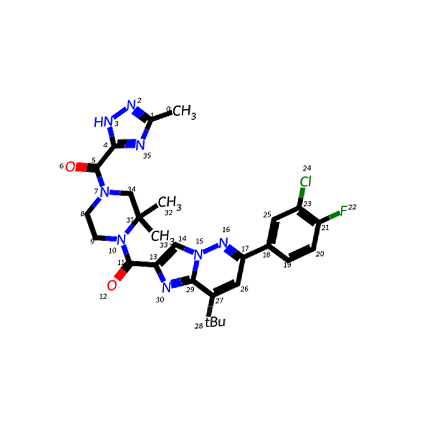 Cc1n[nH]c(C(=O)N2CCN(C(=O)c3cn4nc(-c5ccc(F)c(Cl)c5)cc(C(C)(C)C)c4n3)C(C)(C)C2)n1